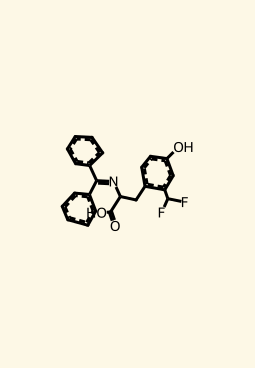 O=C(O)C(Cc1ccc(O)cc1C(F)F)N=C(c1ccccc1)c1ccccc1